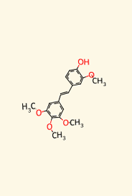 COc1cc(/C=C/c2cc(OC)c(OC)c(OC)c2)ccc1O